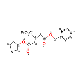 CCOC(=O)C(CC(=O)OCc1ccccc1)CC(=O)OC1CCCC1